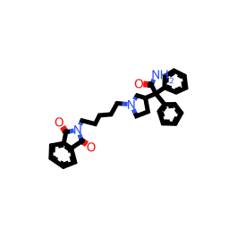 NC(=O)C(c1ccccc1)(c1ccccc1)C1CCN(CCCCCN2C(=O)c3ccccc3C2=O)C1